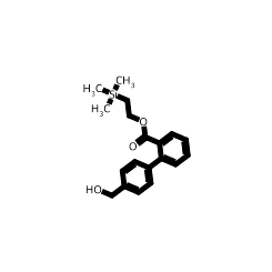 C[Si](C)(C)CCOC(=O)c1ccccc1-c1ccc(CO)cc1